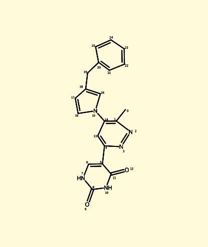 Cc1nnc(-c2c[nH]c(=O)[nH]c2=O)cc1-n1ccc(Cc2ccccc2)c1